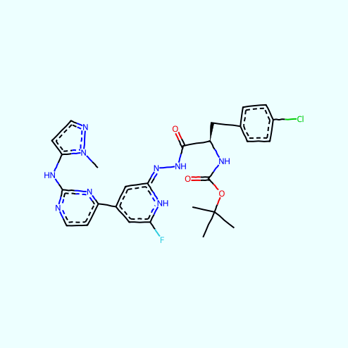 Cn1nccc1Nc1nccc(-c2cc(F)[nH]c(=NNC(=O)[C@@H](Cc3ccc(Cl)cc3)NC(=O)OC(C)(C)C)c2)n1